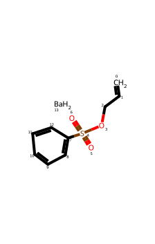 C=CCOS(=O)(=O)c1ccccc1.[BaH2]